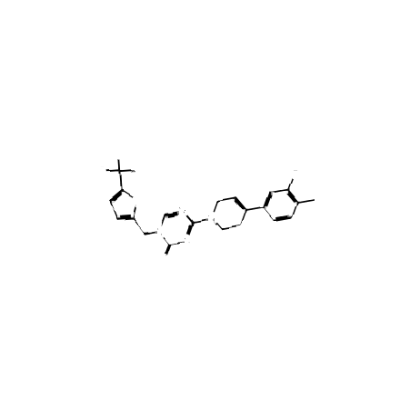 Cc1ccc(C2=CCN(c3ncn(Cc4ccc(C(F)(F)F)s4)c(=O)n3)CC2)cc1F